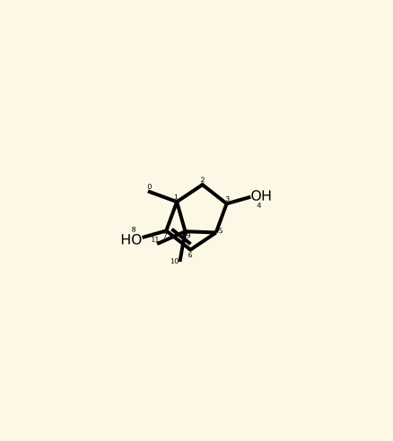 CC12CC(O)C(C=C1O)C2(C)C